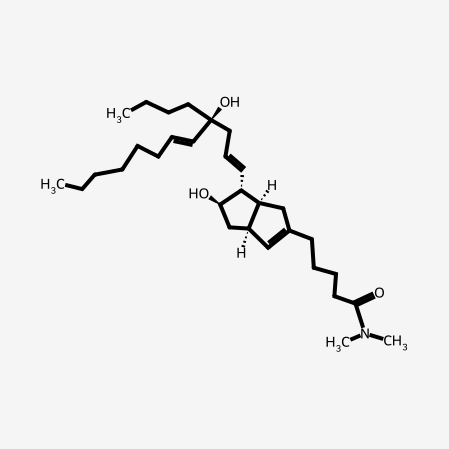 CCCCCCC=C[C@@](O)(C/C=C/[C@@H]1[C@H]2CC(CCCCC(=O)N(C)C)=C[C@H]2C[C@H]1O)CCCC